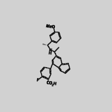 COc1cccc([C@@H](C)NC(C)c2cc(-c3ccc(F)c(C(=O)O)c3)c3ccccc3c2)c1